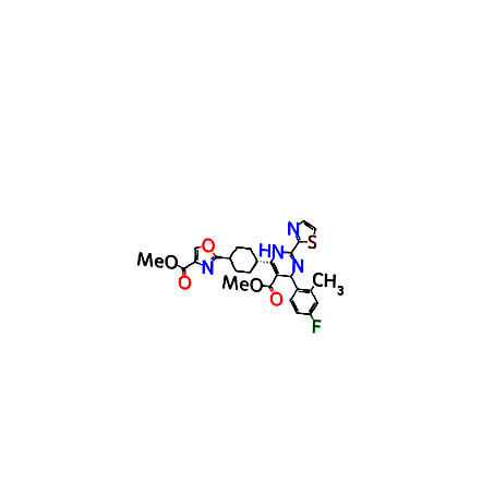 COC(=O)C1=C([C@H]2CC[C@H](c3nc(C(=O)OC)co3)CC2)NC(c2nccs2)=NC1c1ccc(F)cc1C